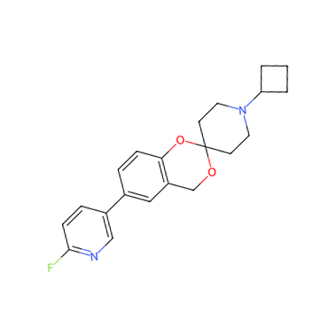 Fc1ccc(-c2ccc3c(c2)COC2(CCN(C4CCC4)CC2)O3)cn1